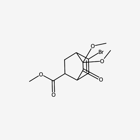 COC(=O)C1CC2C(Br)=CC1C(=O)C2(OC)OC